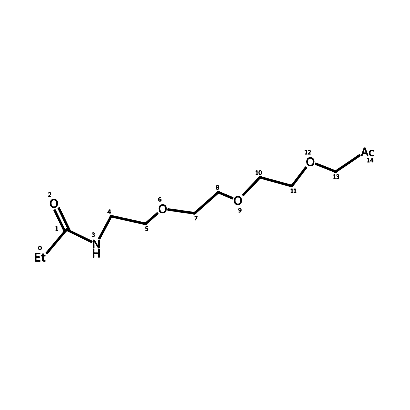 CCC(=O)NCCOCCOCCOCC(C)=O